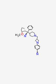 CO[C@H]1CCC[C@@H]1[C@](C#N)(c1ccccc1)C1CCN(CC2CN(c3ccc(C#N)cc3)C2)CC1